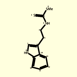 CSC(=S)NCCc1c[nH]c2ccccc12